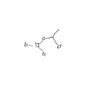 CC[SiH](CC)OC(C)Cl